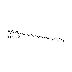 CCCCCC=CCC=CCC=CCCCCC(=O)OC(C)CO